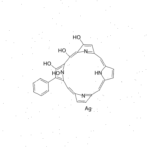 OC1=Cc2cc3ccc(cc4nc(cc5c(-c6ccccc6)c(O)c(c(O)c1n2)n5O)C=C4)[nH]3.[Ag]